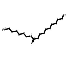 CC(C)CCCCCCCCCC(=O)OCCCCCCC(C)C